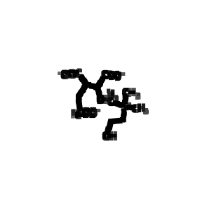 C[N+](C)(C)CCO.O=C([O-])CC(C(=O)[O-])C(O)C(=O)[O-].[Fe+2]